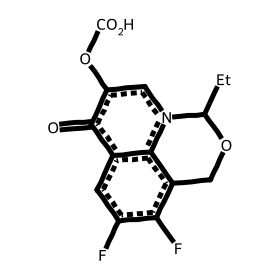 CCC1OCc2c(F)c(F)cc3c(=O)c(OC(=O)O)cn1c23